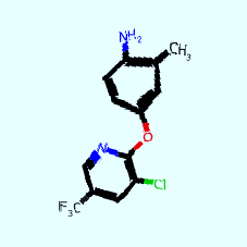 Cc1cc(Oc2ncc(C(F)(F)F)cc2Cl)ccc1N